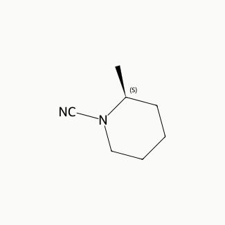 C[C@H]1CCCCN1C#N